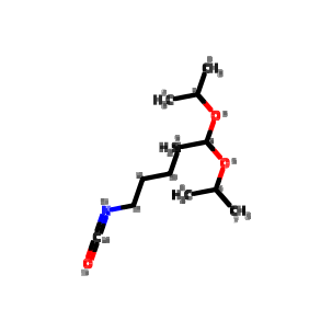 CC(C)OC(OC(C)C)[SiH2]CCCN=C=O